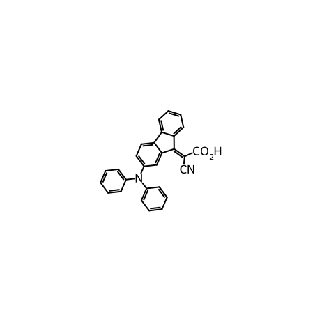 N#C/C(C(=O)O)=C1/c2ccccc2-c2ccc(N(c3ccccc3)c3ccccc3)cc21